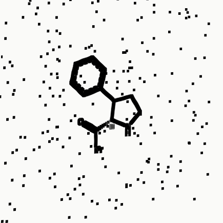 CC(C)C(=O)[C@H]1NCCC1c1ccccc1